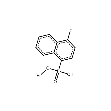 CCOP(=O)(O)c1ccc(F)c2ccccc12